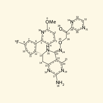 COc1cccc(-c2cc(F)ccc2[C@H]2Cc3nc(N)nc(C)c3/C(=N/OCC(=O)c3cnccn3)N2)n1